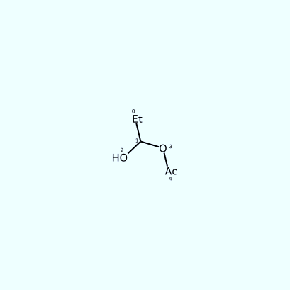 CCC(O)OC(C)=O